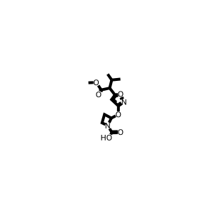 COC(=O)C(c1cc(OC2CCN2C(=O)O)no1)C(C)C